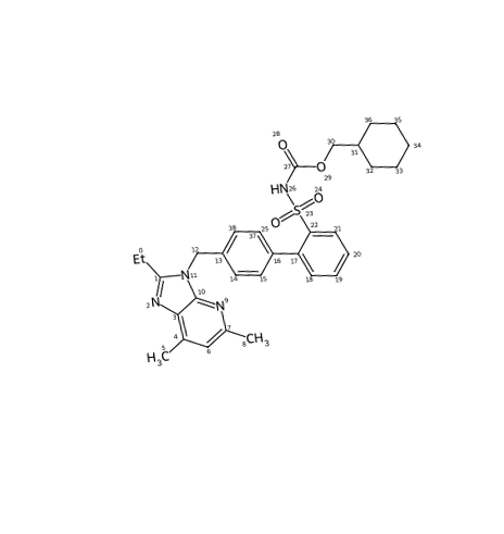 CCc1nc2c(C)cc(C)nc2n1Cc1ccc(-c2ccccc2S(=O)(=O)NC(=O)OCC2CCCCC2)cc1